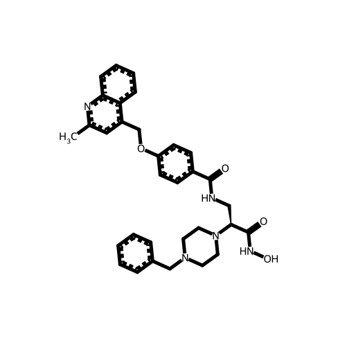 Cc1cc(COc2ccc(C(=O)NC[C@@H](C(=O)NO)N3CCN(Cc4ccccc4)CC3)cc2)c2ccccc2n1